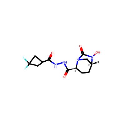 O=C(NNC(=O)[C@@H]1CC[C@@H]2CN1C(=O)N2O)C1CC(F)(F)C1